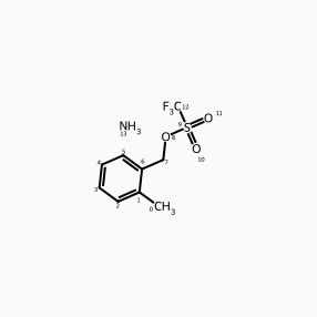 Cc1ccccc1COS(=O)(=O)C(F)(F)F.N